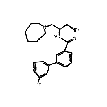 CCc1cccc(-c2cccc(C(=O)N[C@H](CC(C)C)CN3CCCCCC3)c2)c1